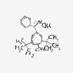 CC(C)(C)c1cc(/C(=N\O)c2ccccc2)cc(C(C)(C)C)c1O